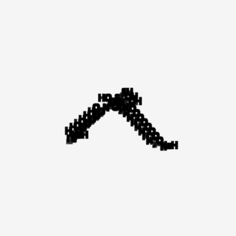 O.O.O.O.O.O.O.O.O.O.O.O.O.O.O=S(=O)(O)S.O=[N+]([O-])O.O=[N+]([O-])O.O=[N+]([O-])O.[Fe].[NaH].[NaH]